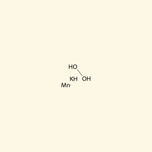 OO.[KH].[Mn]